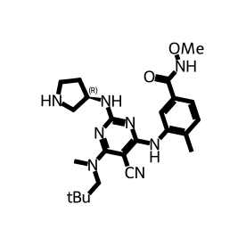 CONC(=O)c1ccc(C)c(Nc2nc(N[C@@H]3CCNC3)nc(N(C)CC(C)(C)C)c2C#N)c1